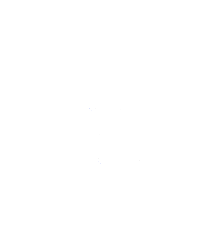 C=CCNC(=O)Cc1ccccc1N